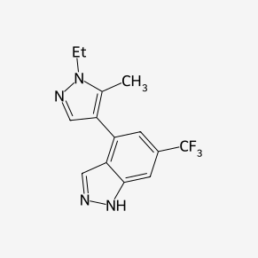 CCn1ncc(-c2cc(C(F)(F)F)cc3[nH]ncc23)c1C